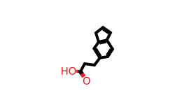 O=C(O)CCc1ccc2c(c1)CC=C2